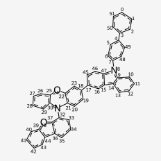 c1ccc(-c2ccc(-n3c4ccccc4c4cc(-c5ccc6c(c5)Oc5ccccc5N6c5cccc6c5oc5ccccc56)ccc43)cc2)cc1